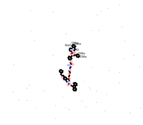 CC[C@H](C(=O)N1CCCC[C@H]1C(=O)O[C@H](CCc1ccc(OC)c(OC)c1)c1cccc(OCC(=O)NCCOCCOCCOCCN(Cc2ccc3cc(Cc4ccccc4)oc3c2)C(=O)OCC2c3ccccc3-c3ccccc32)c1)c1cc(OC)c(OC)c(OC)c1